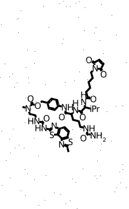 Cc1nc2c(ccc3nc(NC(=O)NCCN(C)C(=O)OCc4ccc(NC(=O)C(CCCNC(N)=O)NC(=O)C(NC(=O)CCCCCN5C(=O)C=CC5=O)C(C)C)cc4)sc32)s1